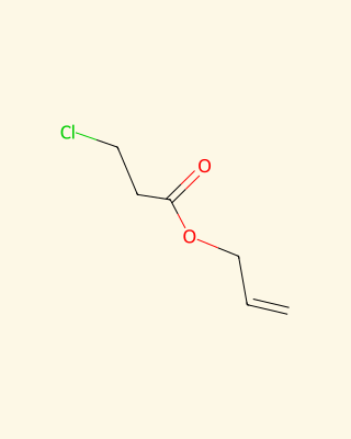 C=CCOC(=O)CCCl